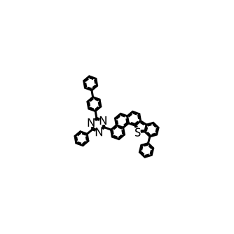 c1ccc(-c2ccc(-c3nc(-c4ccccc4)nc(-c4cccc5c4ccc4ccc6c7cccc(-c8ccccc8)c7sc6c45)n3)cc2)cc1